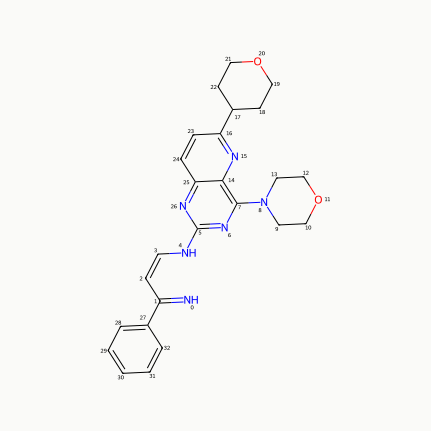 N=C(/C=C\Nc1nc(N2CCOCC2)c2nc(C3CCOCC3)ccc2n1)c1ccccc1